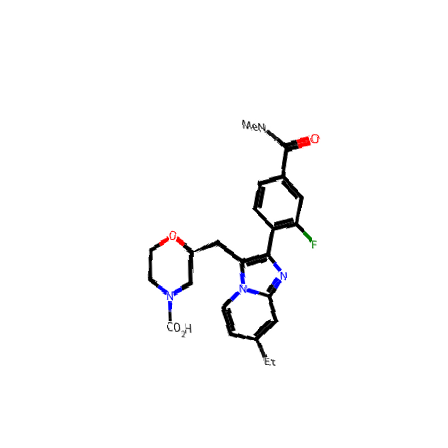 CCc1ccn2c(C[C@H]3CN(C(=O)O)CCO3)c(-c3ccc(C(=O)NC)cc3F)nc2c1